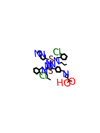 CCCCN(Cc1ccccc1Cl)c1nnc(-c2ccc(CN3CC(C(=O)O)C3)cc2)s1.CCCCN(Cc1ccccc1Cl)c1nnc(-c2ccc3nccn3c2)s1